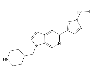 IPn1cc(-c2cc3ccn(CC4CCNCC4)c3cn2)cn1